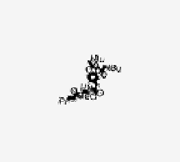 COC(=O)[C@H](Cc1ccc(OC(=O)CC(C)(C)C)c(OC(=O)CC(C)(C)C)c1)NCCOC(=O)CCC(C)C